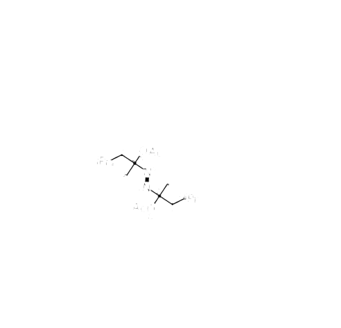 CC(=O)OC(C)(CC(C)C)N=NC(C)(CC(C)C)OC(C)=O